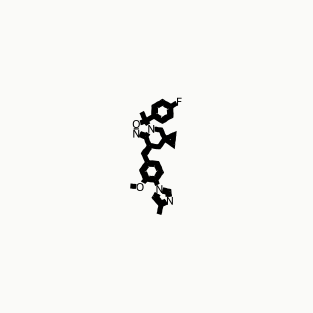 COc1cc(/C=C2\CC3(CC3)CN3C2=NOC3(C)c2ccc(F)cc2)ccc1-n1cnc(C)c1